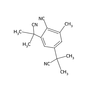 Cc1cc(C(C)(C)C#N)cc(C(C)(C)C#N)c1C#N